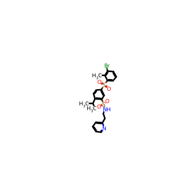 Cc1c(Br)cccc1S(=O)(=O)c1ccc(C(C)C)c(S(=O)(=O)NCCc2ccccn2)c1